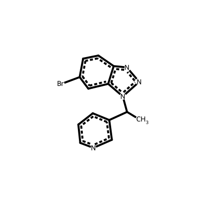 CC(c1cccnc1)n1nnc2ccc(Br)cc21